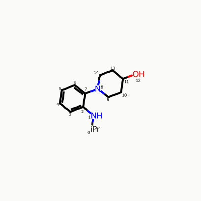 CC(C)Nc1ccccc1N1CCC(O)CC1